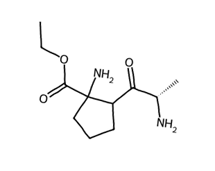 CCOC(=O)C1(N)CCCC1C(=O)[C@H](C)N